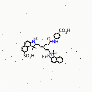 CCN1/C(=C/C=C(/C=C/C2=[N+](CC)c3ccc4ccccc4c3C2(C)C)CCC(=O)Nc2ccc(C(=O)O)cc2)C(C)(C)c2c1ccc1ccc(S(=O)(=O)O)cc21